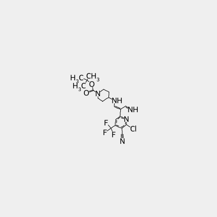 CC(C)(C)OC(=O)N1CCC(N/C=C(\C=N)c2cc(C(F)(F)F)c(C#N)c(Cl)n2)CC1